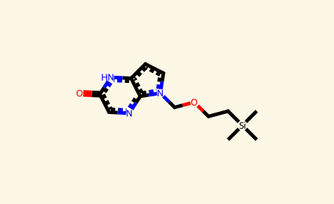 C[Si](C)(C)CCOCn1ccc2[nH]c(=O)cnc21